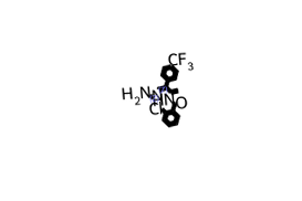 C=C(NC(=O)c1ccccc1Cl)/C(=C\N=C/N)c1ccc(C(F)(F)F)cc1